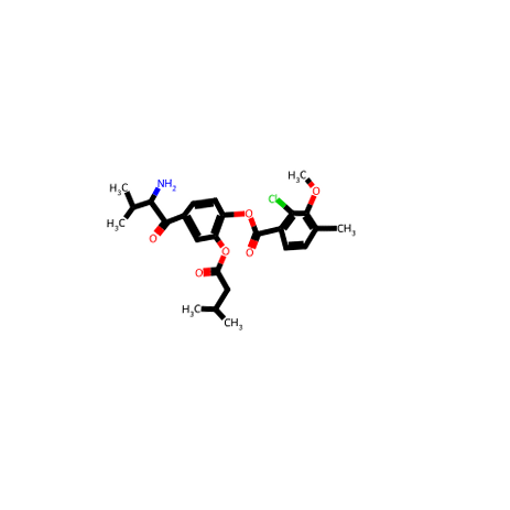 COc1c(C)ccc(C(=O)Oc2ccc(C(=O)C(N)C(C)C)cc2OC(=O)CC(C)C)c1Cl